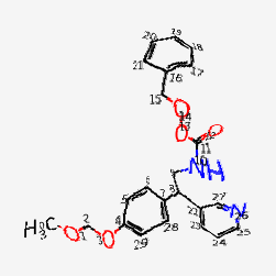 COCOc1ccc(C(CNC(=O)OOCc2ccccc2)c2cccnc2)cc1